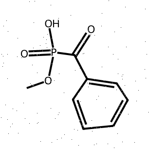 COP(=O)(O)C(=O)c1ccccc1